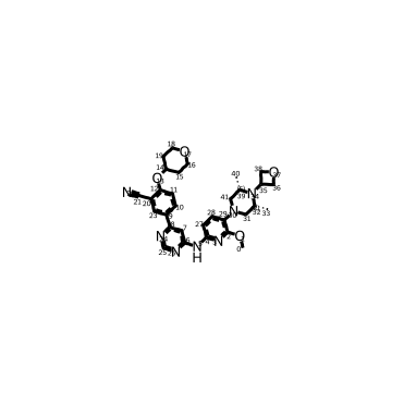 COc1nc(Nc2cc(-c3ccc(OC4CCOCC4)c(C#N)c3)ncn2)ccc1N1C[C@@H](C)N(C2COC2)[C@@H](C)C1